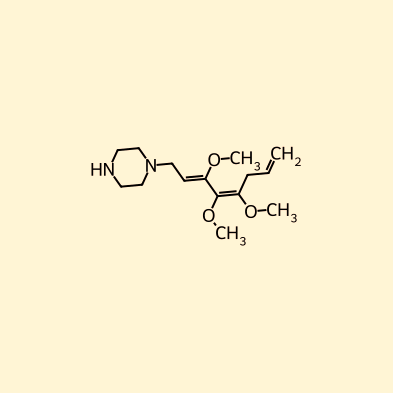 C=CC/C(OC)=C(OC)\C(=C\CN1CCNCC1)OC